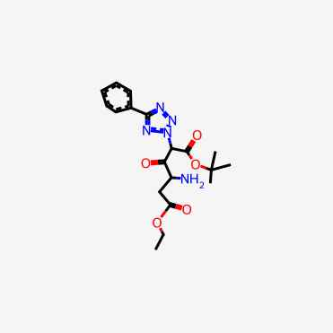 CCOC(=O)CC(N)C(=O)C(C(=O)OC(C)(C)C)n1nnc(-c2ccccc2)n1